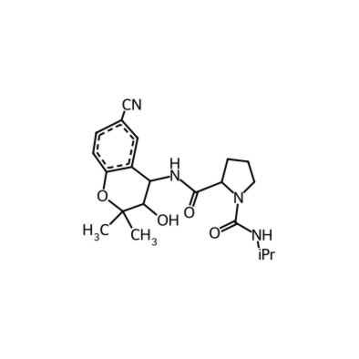 CC(C)NC(=O)N1CCCC1C(=O)NC1c2cc(C#N)ccc2OC(C)(C)C1O